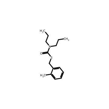 CCCN(CCC)C(=O)SCc1ccccc1C